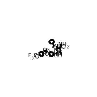 CC(Nc1nc(Nc2ccc(OS(=O)(=O)c3ccc(OC(F)(F)F)cc3)cc2)ncc1C(N)=O)c1ccccc1